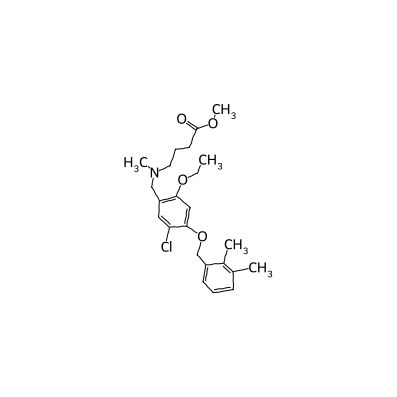 CCOc1cc(OCc2cccc(C)c2C)c(Cl)cc1CN(C)CCCC(=O)OC